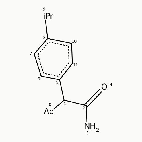 CC(=O)C(C(N)=O)c1ccc(C(C)C)cc1